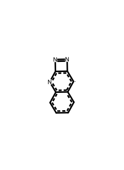 [c]1c2c(nc3ccccc13)N=N2